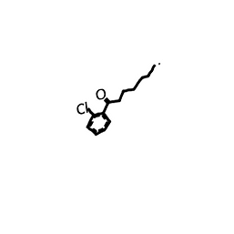 [CH2]CCCCCC(=O)c1ccccc1Cl